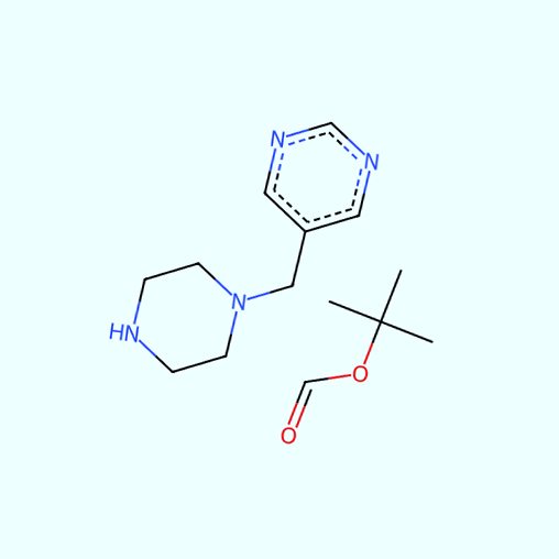 CC(C)(C)OC=O.c1ncc(CN2CCNCC2)cn1